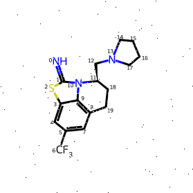 N=c1sc2cc(C(F)(F)F)cc3c2n1[C@@H](CN1CCCC1)CC3